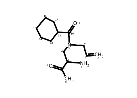 C=CCN(CC(N)C(C)=O)C(=O)C1CCCCC1